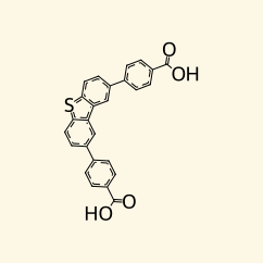 O=C(O)c1ccc(-c2ccc3sc4ccc(-c5ccc(C(=O)O)cc5)cc4c3c2)cc1